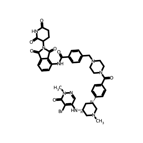 CN1C[C@H](Nc2cnn(C)c(=O)c2Br)C[C@H](c2ccc(C(=O)N3CCN(Cc4ccc(C(=O)Nc5cccc6c5C(=O)N(C5CCC(=O)NC5=O)C6=O)cc4)CC3)cc2)C1